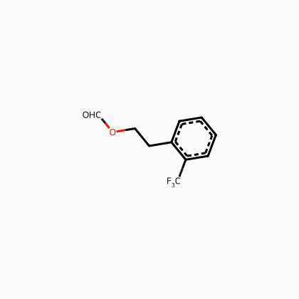 O=COCCc1ccccc1C(F)(F)F